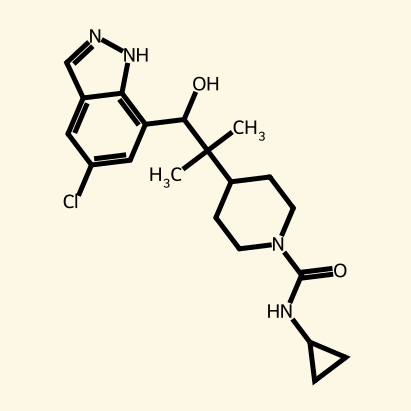 CC(C)(C1CCN(C(=O)NC2CC2)CC1)C(O)c1cc(Cl)cc2cn[nH]c12